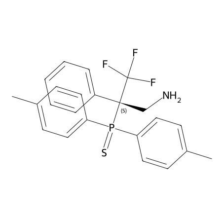 Cc1ccc(P(=S)(c2ccc(C)cc2)[C@](CN)(c2ccccc2)C(F)(F)F)cc1